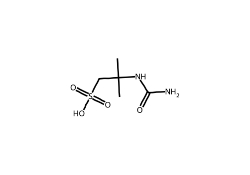 CC(C)(CS(=O)(=O)O)NC(N)=O